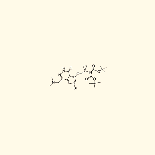 CN(C)Cc1n[nH]c(=O)c2c(OCC3(N(C(=O)OC(C)(C)C)C(=O)OC(C)(C)C)CC3)cc(Br)cc12